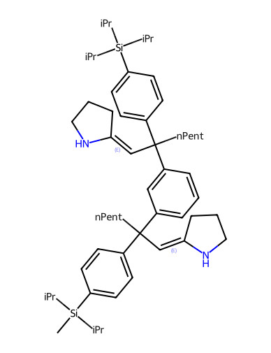 CCCCCC(/C=C1\CCCN1)(c1ccc([Si](C)(C(C)C)C(C)C)cc1)c1cccc(C(/C=C2\CCCN2)(CCCCC)c2ccc([Si](C(C)C)(C(C)C)C(C)C)cc2)c1